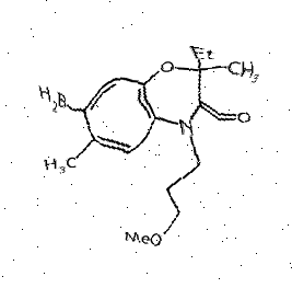 Bc1cc2c(cc1C)N(CCCOC)C(=O)C(C)(CC)O2